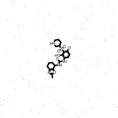 Cc1nc2c(o1)C(NC(=O)Nc1ccc(Cl)c(S(=O)(=O)C3CCCNC3)c1O)CCC2